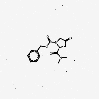 CN(C)C(=O)[C@@H]1CC(=O)CN1C(=O)OCc1ccccc1